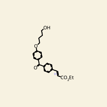 CCOC(=O)/C=C/c1ccc(C(=O)c2ccc(OCCCCO)cc2)cc1